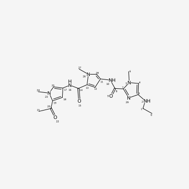 CCNc1cn(C)c(C(=O)Nc2cc(C(=O)Nc3cc(C(C)=O)n(C)c3)n(C)c2)n1